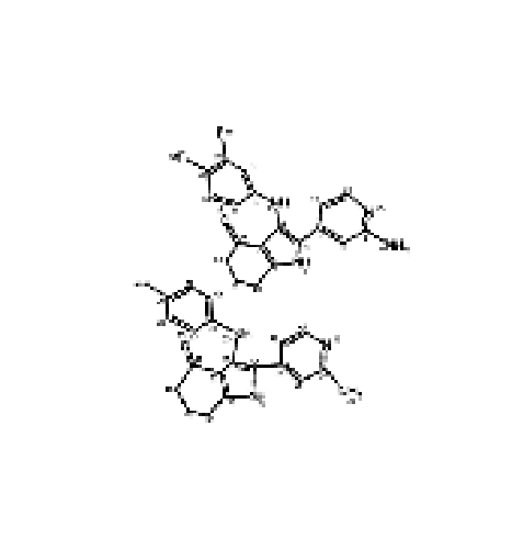 Nc1cc(-c2[nH]c3c(c2Nc2ccc(F)c(F)c2)C(=O)CCC3)ccn1.Nc1cc(-c2[nH]c3c(c2Nc2ccc(F)cc2)C(=O)CCC3)ccn1